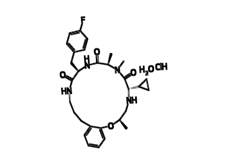 C[C@@H]1CN[C@@H](C2CC2)C(=O)N(C)[C@H](C)C(=O)N[C@H](Cc2ccc(F)cc2)C(=O)NCCCc2ccccc2O1.Cl.O